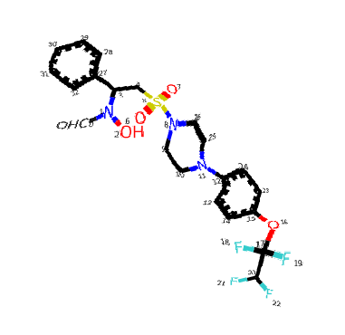 O=CN(O)C(CS(=O)(=O)N1CCN(c2ccc(OC(F)(F)C(F)F)cc2)CC1)c1ccccc1